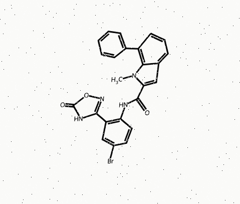 Cn1c(C(=O)Nc2ccc(Br)cc2-c2noc(=O)[nH]2)cc2cccc(-c3ccccc3)c21